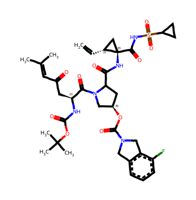 C=C[C@@H]1C[C@]1(NC(=O)C1C[C@@H](OC(=O)N2Cc3cccc(F)c3C2)CN1C(=O)[C@H](CC(=O)C=C(C)C)NC(=O)OC(C)(C)C)C(=O)NS(=O)(=O)C1CC1